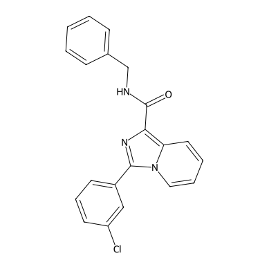 O=C(NCc1ccccc1)c1nc(-c2cccc(Cl)c2)n2ccccc12